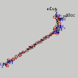 CCCCCCCCCCCCCCNC(=O)OC[C@H](C[S+]([O-])C[C@H](N)C(=O)N[C@@H](CO)C(=O)NCCOCCOCCOCCOCCOCCOCCOCCOCCOCCOCCOCCOCCC(=O)NCC(N)=O)OC(=O)NCCCCCCCCCCCCCC